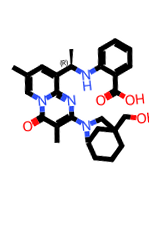 Cc1cc([C@@H](C)Nc2ccccc2C(=O)O)c2nc(N3CC4(CO)CCCC3C4)c(C)c(=O)n2c1